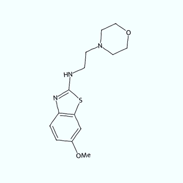 COc1ccc2nc(NCCN3CCOCC3)sc2c1